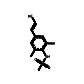 Cc1cc(/C=C/C#N)cc(C)c1NS(C)(=O)=O